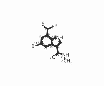 CNC(=O)c1c[nH]c2c(C(F)F)cc(Br)cc12